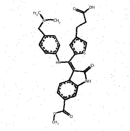 COC(=O)c1ccc2c(c1)NC(=O)C2=C(Nc1ccc(CN(C)C)cc1)c1cc(CCC(=O)O)cs1